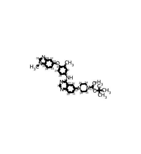 Cc1cc(Nc2ncnc3ccc(N4CCN(C(=O)OC(C)(C)C)CC4)cc23)ccc1Oc1ccc2c(c1)ncn2C